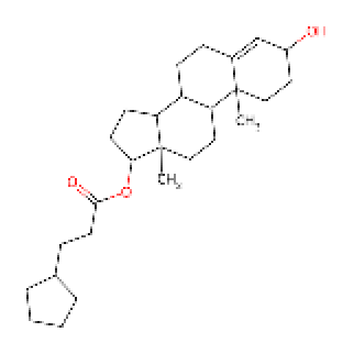 CC12CCC(O)C=C1CCC1C2CCC2(C)C(OC(=O)CCC3CCCC3)CCC12